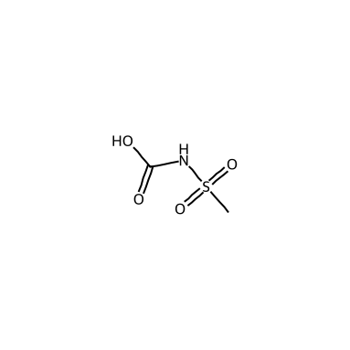 CS(=O)(=O)NC(=O)O